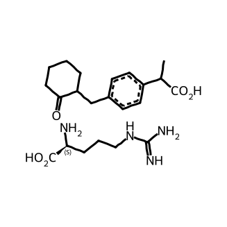 CC(C(=O)O)c1ccc(CC2CCCCC2=O)cc1.N=C(N)NCCC[C@H](N)C(=O)O